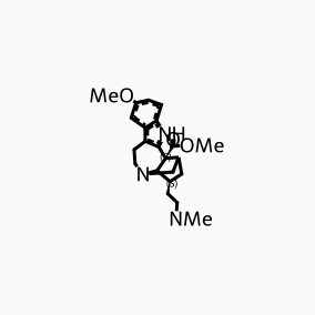 CNCC[C@@H]1CC2CN3CCc4c([nH]c5ccc(OC)cc45)[C@@]2(C(=O)OC)C13